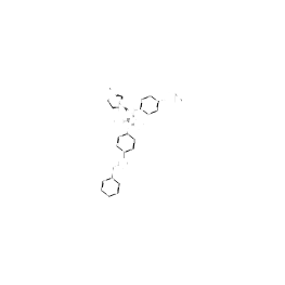 N#Cc1ccc(N(n2ccnc2)S(=O)(=O)c2ccc(OCc3ccccc3)cc2)cc1